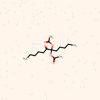 CCCCCC(=O)C(CCCCC)(OC(C)=O)OC(C)=O